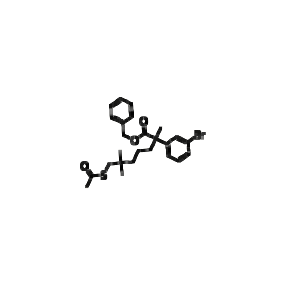 CC(=O)SCC(C)(C)CCCC(C)(C(=O)OCc1ccccc1)c1cccc(Br)c1